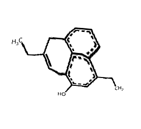 CCC1=Cc2c(O)cc(CC)c3cccc(c23)C1